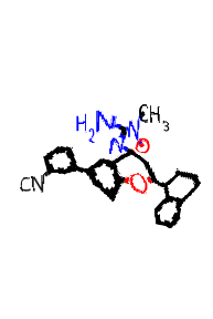 [C-]#[N+]c1cccc(-c2ccc3c(c2)C2(CC(C4CCCc5ccccc54)O3)N=C(N)N(C)O2)c1